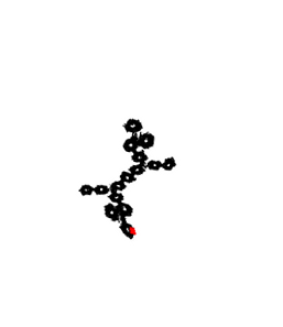 c1ccc(-c2ccc(N(c3ccc(-c4ccc(-c5ccc(N(c6ccc(-c7ccccc7)cc6)c6ccc(-c7cccc8c7c7ccccc7n8-c7ccccc7)cc6)cc5)cc4)cc3)c3ccc(-c4cccc5c4c4ccccc4n5-c4ccccc4)cc3)cc2)cc1